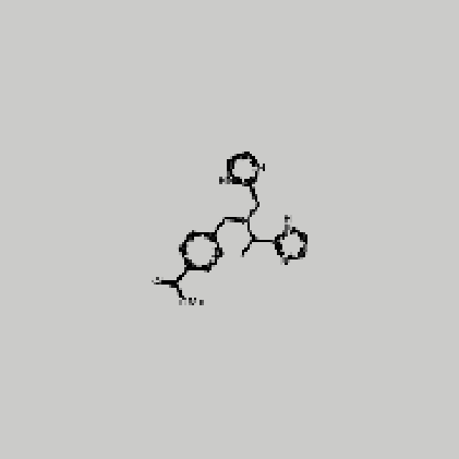 COC(=O)c1ccc(CN(Cc2ncc[nH]2)C(C)c2ncc[nH]2)cc1